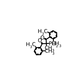 Cc1cccc(C)c1C(=O)C(C)(P)C(=O)c1c(C)cccc1C